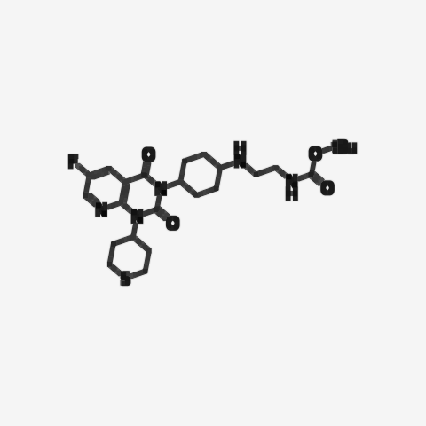 CC(C)(C)OC(=O)NCCNC1CCC(n2c(=O)c3cc(F)cnc3n(C3CCSCC3)c2=O)CC1